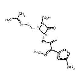 CON=C(C(=O)N[C@H]1C(=O)N(S(=O)(=O)O)[C@H]1CON=C(C)C)c1csc(N)n1